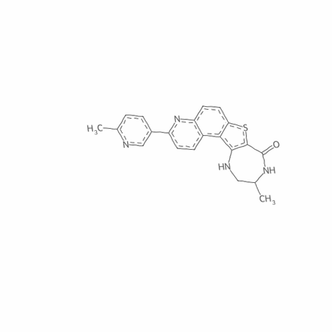 Cc1ccc(-c2ccc3c(ccc4sc5c(c43)NCC(C)NC5=O)n2)cn1